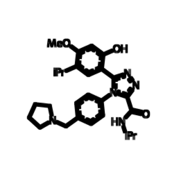 COc1cc(O)c(-c2nnc(C(=O)NC(C)C)n2-c2ccc(CN3CCCC3)cc2)cc1C(C)C